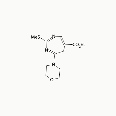 CCOC(=O)C1=CN=C(SC)N=C(N2CCOCC2)C1